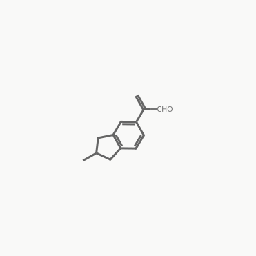 C=C(C=O)c1ccc2c(c1)CC(C)C2